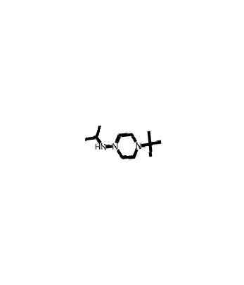 CC(C)NN1CCN(C(C)(C)C)CC1